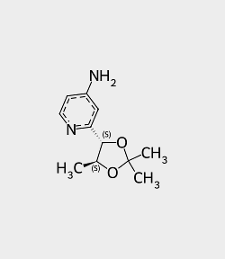 C[C@@H]1OC(C)(C)O[C@H]1c1cc(N)ccn1